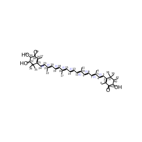 CC1=C(/C=C/C(C)=C/C=C/C(C)=C/C=C/C=C(C)/C=C/C=C(C)/C=C/C2=C(C)C(=O)C(O)C(O)C2(C)C)C(C)(C)C(C)C(O)C1=O